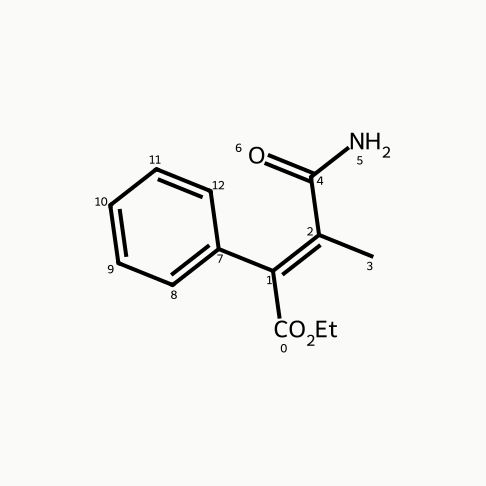 CCOC(=O)/C(=C(\C)C(N)=O)c1ccccc1